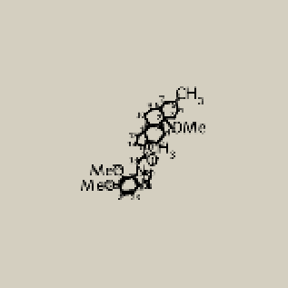 COCC12CCC(C)CC1CCC1C3CCC(C(=O)Cn4nnc5ccc(OC)c(OC)c54)C3(C)CCC12